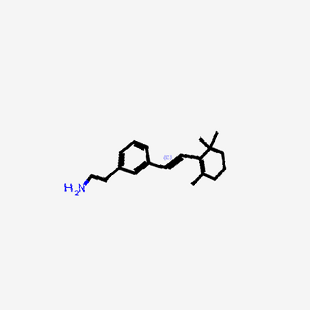 CC1=C(/C=C/c2cccc(CCN)c2)C(C)(C)CCC1